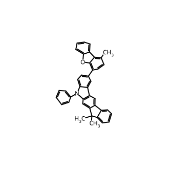 Cc1ccc(-c2ccc3c(c2)c2cc4c(cc2n3-c2ccccc2)C(C)(C)c2ccccc2-4)c2oc3ccccc3c12